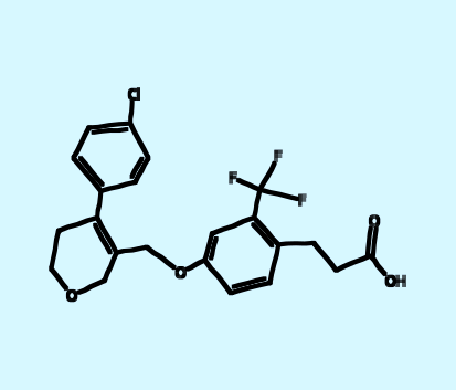 O=C(O)CCc1ccc(OCC2=C(c3ccc(Cl)cc3)CCOC2)cc1C(F)(F)F